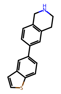 c1cc2cc(-c3ccc4c(c3)CCNC4)ccc2s1